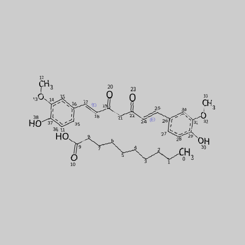 CCCCCCCCCC(=O)O.COc1cc(/C=C/C(=O)CC(=O)/C=C/c2ccc(O)c(OC)c2)ccc1O